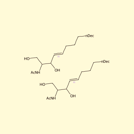 CCCCCCCCCCCCC/C=C/C(O)C(CO)NC(C)=O.CCCCCCCCCCCCC/C=C/C(O)C(CO)NC(C)=O